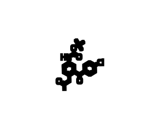 CC(=O)Cc1ccc(NC(=O)OC(C)(C)C)cc1C(=O)c1ccc(Cl)cc1